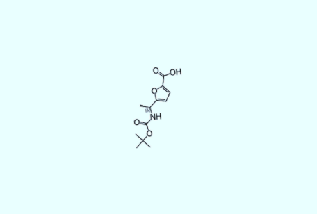 C[C@H](NC(=O)OC(C)(C)C)c1ccc(C(=O)O)o1